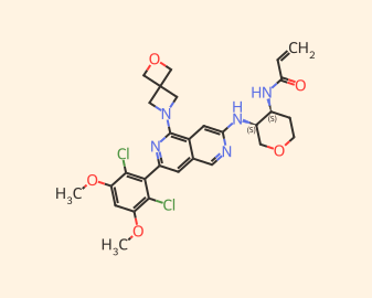 C=CC(=O)N[C@H]1CCOC[C@H]1Nc1cc2c(N3CC4(COC4)C3)nc(-c3c(Cl)c(OC)cc(OC)c3Cl)cc2cn1